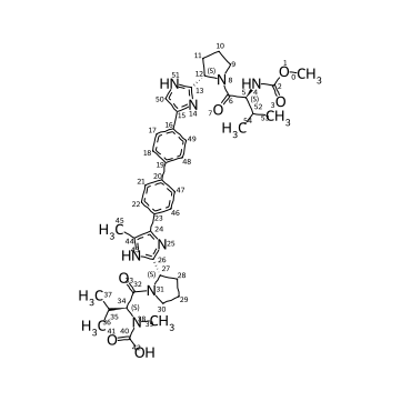 COC(=O)N[C@H](C(=O)N1CCC[C@H]1c1nc(-c2ccc(-c3ccc(-c4nc([C@@H]5CCCN5C(=O)[C@H](C(C)C)N(C)C(=O)O)[nH]c4C)cc3)cc2)c[nH]1)C(C)C